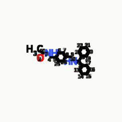 CC(=O)NCc1ccc(CNC(c2ccccc2)c2ccccc2)cc1